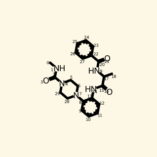 CNC(=O)N1CCN(c2ccccc2NC(=O)C(C)NC(=O)c2ccccc2)CC1